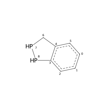 c1ccc2c(c1)CPP2